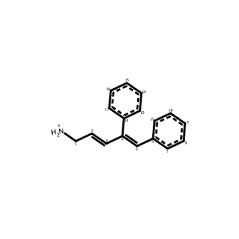 NCC=CC(=Cc1ccccc1)c1ccccc1